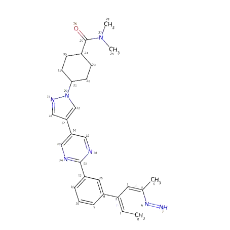 C/C=C(\C=C(\C)N=N)c1cccc(-c2ncc(-c3cnn(C4CCC(C(=O)N(C)C)CC4)c3)cn2)c1